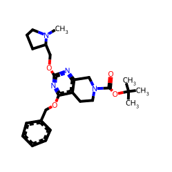 CN1CCCC1COc1nc2c(c(OCc3ccccc3)n1)CCN(C(=O)OC(C)(C)C)C2